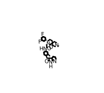 CN1CCC2(CC[C@@H](c3cc(F)cc(F)c3)N(CC(=O)Nc3ccc4c(c3)C[C@@]3(C4)C(=O)Nc4ncccc43)C2=O)CC1